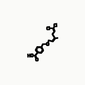 CC(=CCOCc1ccc(C(=O)O)cc1)CC=C(Cl)Cl